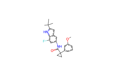 COc1cccc(C2(C(=O)Nc3cc(F)c4[nH]c(C(C)(C)C)cc4c3)CC2)c1